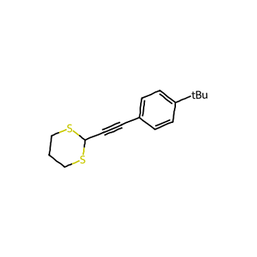 CC(C)(C)c1ccc(C#CC2SCCCS2)cc1